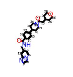 O=C(NCc1ccn2ccnc2c1)c1ccc(C2CCN(C(=O)CC3CCOCC3)CC2)cc1